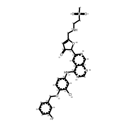 CS(=O)(=O)CCNCC1=CC(=O)C(c2cc3c(Nc4ccc(OCc5cccc(F)c5)c(Cl)c4)ncnc3cn2)O1